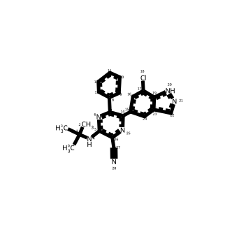 CC(C)(C)Nc1nc(-c2ccccc2)c(-c2cc(Cl)c3[nH]ncc3c2)nc1C#N